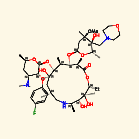 CC[C@H]1OC(=O)[C@H](C)[C@@H](O[C@H]2C[C@@](C)(OC)[C@](O)(CN3CCOCC3)[C@H](C)O2)[C@H](C)[C@@H](O[C@@H]2O[C@H](C)C[C@H](N(C)C)[C@H]2Oc2ccc(F)cc2)[C@](C)(O)C[C@@H](C)CN[C@H](C)[C@@H](O)[C@]1(C)O